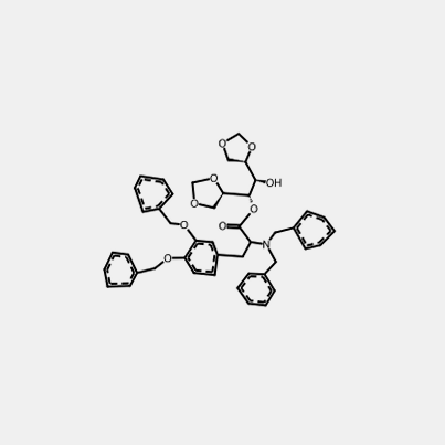 O=C(O[C@@H]([C@H](O)[C@H]1COCO1)[C@H]1COCO1)C(Cc1ccc(OCc2ccccc2)c(OCc2ccccc2)c1)N(Cc1ccccc1)Cc1ccccc1